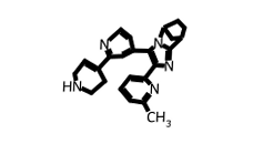 Cc1cccc(-c2nc3n(c2-c2ccnc(C4=CCNCC4)c2)C2CCC3C2)n1